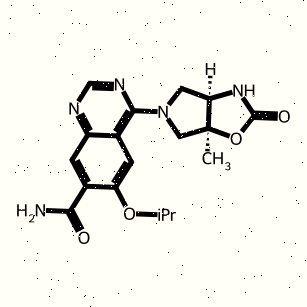 CC(C)Oc1cc2c(N3C[C@H]4NC(=O)O[C@@]4(C)C3)ncnc2cc1C(N)=O